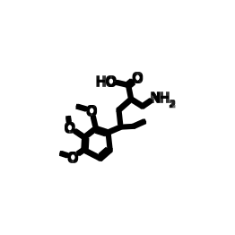 CCC(CC(CN)C(=O)O)c1ccc(OC)c(OC)c1OC